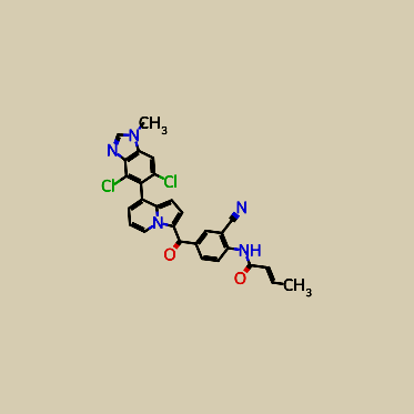 CC=CC(=O)Nc1ccc(C(=O)c2ccc3c(-c4c(Cl)cc5c(ncn5C)c4Cl)cccn23)cc1C#N